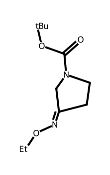 CCON=C1CCN(C(=O)OC(C)(C)C)C1